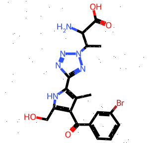 Cc1c(-c2nnn(C(C)C(N)C(=O)O)n2)[nH]c(CO)c1C(=O)c1cccc(Br)c1